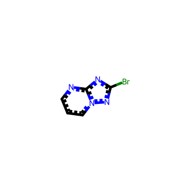 Brc1nc2ncccn2n1